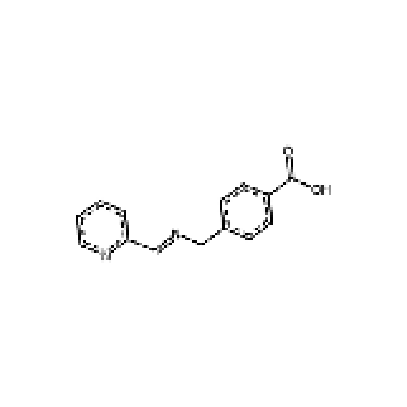 O=C(O)c1ccc(CN=Cc2ccccn2)cc1